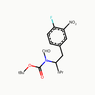 CCCC(Cc1ccc(F)c([N+](=O)[O-])c1)N(C=O)C(=O)OC(C)(C)C